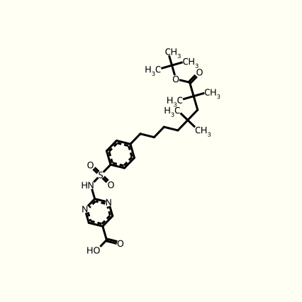 CC(C)(CCCCc1ccc(S(=O)(=O)Nc2ncc(C(=O)O)cn2)cc1)CC(C)(C)C(=O)OC(C)(C)C